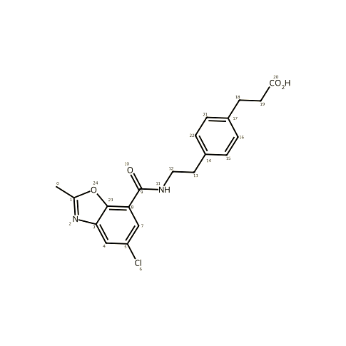 Cc1nc2cc(Cl)cc(C(=O)NCCc3ccc(CCC(=O)O)cc3)c2o1